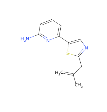 C=C(C)Cc1ncc(-c2cccc(N)n2)s1